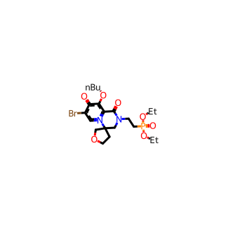 CCCCOc1c2n(cc(Br)c1=O)C1(CCOC1)CN(CCP(=O)(OCC)OCC)C2=O